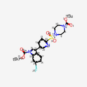 CC(C)(C)OC(=O)N1CCN(S(=O)(=O)c2ccc(-c3cn(C(=O)OC(C)(C)C)c4cc(F)ccc34)cn2)CC1